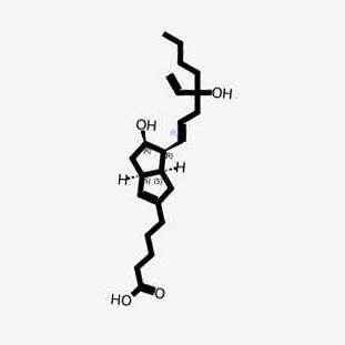 C=CC(O)(C/C=C/[C@H]1[C@H]2CC(CCCCC(=O)O)=C[C@H]2C[C@H]1O)CCCC